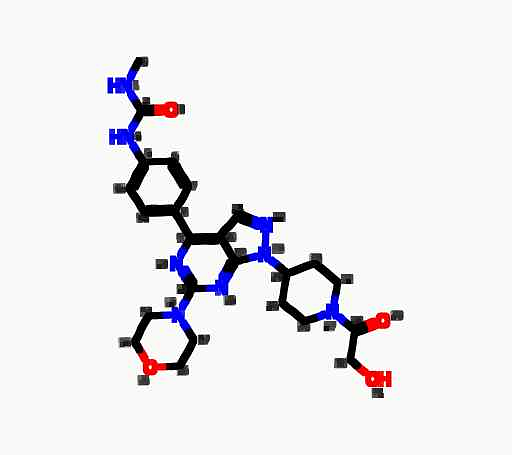 CNC(=O)Nc1ccc(-c2nc(N3CCOCC3)nc3c2cnn3C2CCN(C(=O)CO)CC2)cc1